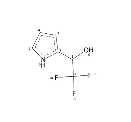 OC(c1ccc[nH]1)C(F)(F)F